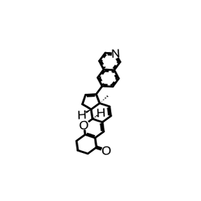 C[C@]12C=CC3=CC4=C(CCCC4=O)O[C@H]3[C@@H]1CC=C2c1ccc2cnccc2c1